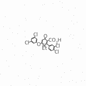 CCn1c(Oc2cc(Cl)cc(Cl)c2)cc(=O)c(C(=O)O)c1-c1ccc(Cl)c(Cl)c1